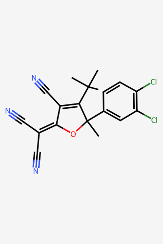 CC(C)(C)C1=C(C#N)C(=C(C#N)C#N)OC1(C)c1ccc(Cl)c(Cl)c1